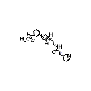 CS(=O)(=O)c1cccc(N2C[C@@H]3[C@@H](CCNC(=O)/C=C/c4cccnc4)[C@@H]3C2)c1